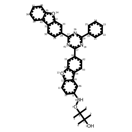 CC(C)(O)C(C)(C)OBc1ccc2oc3cc(-c4nc(-c5ccccc5)nc(-c5ccc6c(c5)oc5ccccc56)n4)ccc3c2c1